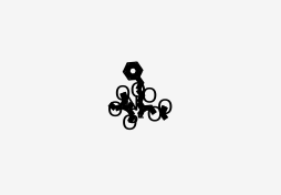 COC1C(=O)N2C(C(=O)OCc3ccccc3)=C(COC(C)=O)C[S+]([O-])C12